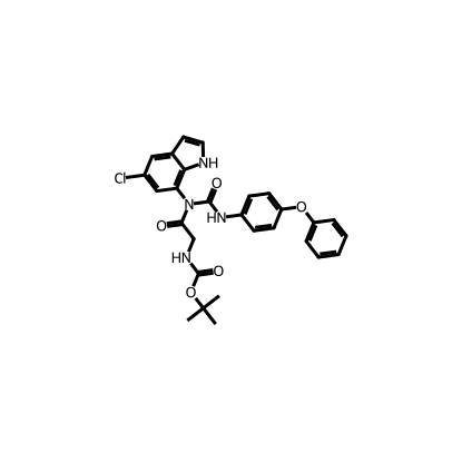 CC(C)(C)OC(=O)NCC(=O)N(C(=O)Nc1ccc(Oc2ccccc2)cc1)c1cc(Cl)cc2cc[nH]c12